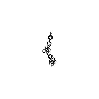 O=c1nc(N2CC=C(c3ccc(F)cc3)CC2)ncn1Cc1ccc(OS(=O)(=O)C(F)(F)F)cc1